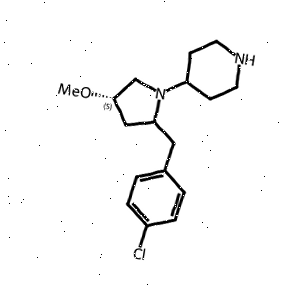 CO[C@H]1CC(Cc2ccc(Cl)cc2)N(C2CCNCC2)C1